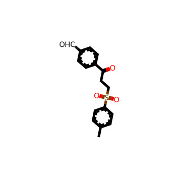 Cc1ccc(S(=O)(=O)CCC(=O)c2ccc(C=O)cc2)cc1